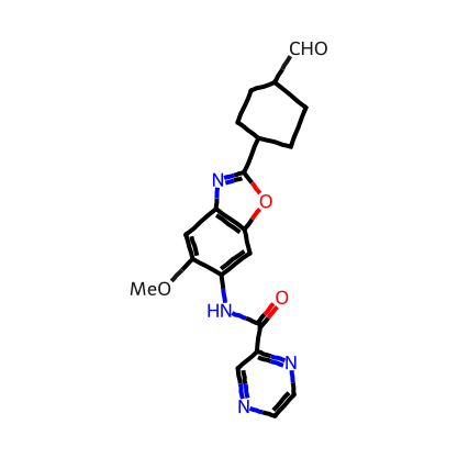 COc1cc2nc(C3CCC(C=O)CC3)oc2cc1NC(=O)c1cnccn1